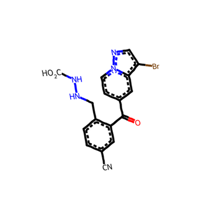 N#Cc1ccc(CNNC(=O)O)c(C(=O)c2ccn3ncc(Br)c3c2)c1